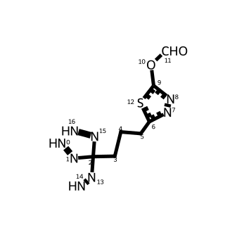 N=NC(CCCc1nnc(OC=O)s1)(N=N)N=N